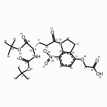 CC(C)(C)OC(=O)N[C@@H](CCC(=O)N1CCc2c(OCC(=O)O)ccc([N+](=O)[O-])c21)C(=O)OC(C)(C)C